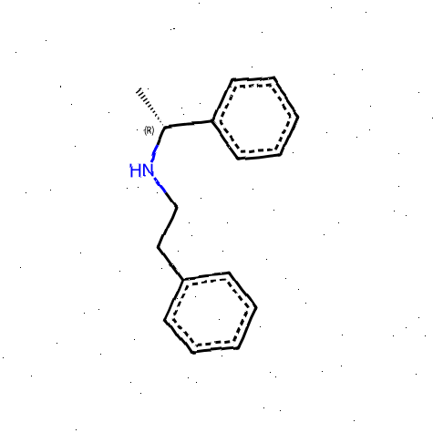 C[C@@H](NCCc1ccccc1)c1ccccc1